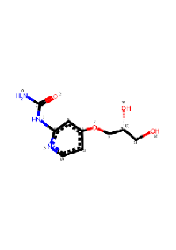 NC(=O)Nc1cc(OC[C@H](O)CO)ccn1